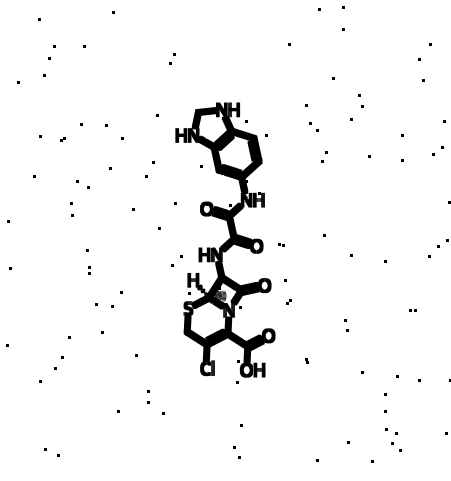 O=C(O)C1=C(Cl)CS[C@H]2C(NC(=O)C(=O)Nc3ccc4c(c3)NCN4)C(=O)N12